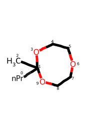 CCCC1(C)OCCOCCO1